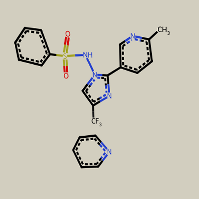 Cc1ccc(-c2nc(C(F)(F)F)cn2NS(=O)(=O)c2ccccc2)cn1.c1ccncc1